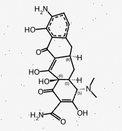 CN(C)[C@@H]1C(O)=C(C(N)=O)C(=O)[C@]2(O)C(O)=C3C(=O)c4c(ccc(N)c4O)C[C@H]3C[C@@H]12